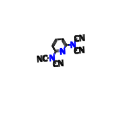 N#CN(C#N)c1cccc(N(C#N)C#N)n1